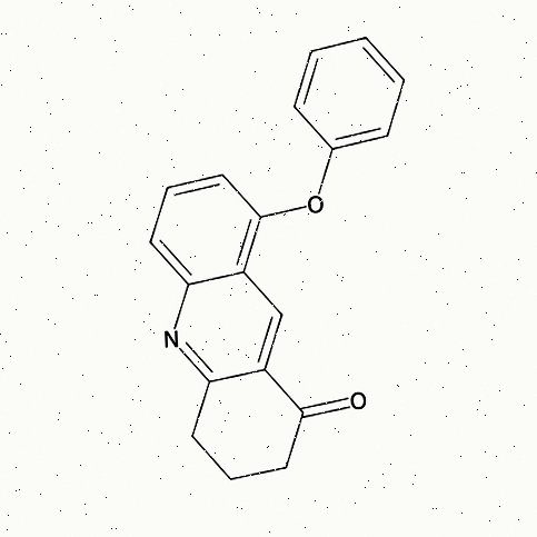 O=C1CCCc2nc3cccc(Oc4ccccc4)c3cc21